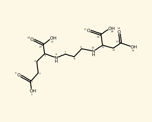 O=C(O)CCC(NCCCNC(CC(=O)O)C(=O)O)C(=O)O